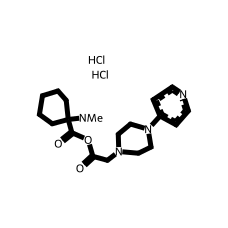 CNC1(C(=O)OC(=O)CN2CCN(c3ccncc3)CC2)CCCCC1.Cl.Cl